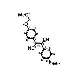 COCOc1ccc(/C(C#N)=C(\C#N)c2ccc(OC)cc2)cc1